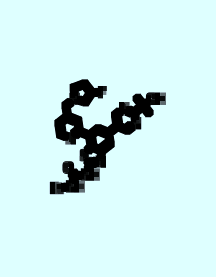 CCNC(=O)Nc1nc2cc(-c3cnc(C(C)(C)O)nc3)cc(-c3cc(CN4CCC(F)C4)ccn3)c2s1